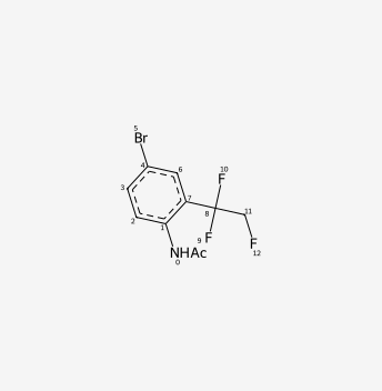 CC(=O)Nc1ccc(Br)cc1C(F)(F)CF